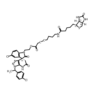 CC(c1ccc(Cl)cc1)n1nnc2c1NC(=O)C[C@]21C(=O)N(CCOC(=O)CCCCCCCNC(=O)CCCC[C@@H]2SC[C@@H]3NC(=O)N[C@@H]32)c2ccc(Cl)cc21